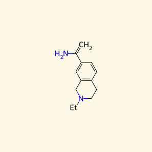 C=C(N)c1ccc2c(c1)CN(CC)CC2